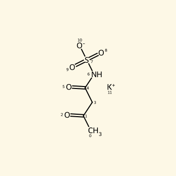 CC(=O)CC(=O)NS(=O)(=O)[O-].[K+]